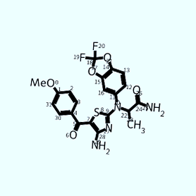 COc1ccc(C(=O)c2sc(N(c3ccc4c(c3)OC(F)(F)O4)C(C)C(N)=O)nc2N)cc1